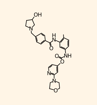 Cc1ccc(NC(=O)Oc2ccnc(N3CCOCC3)c2)cc1NC(=O)c1ccc(CN2CCC(O)C2)cc1